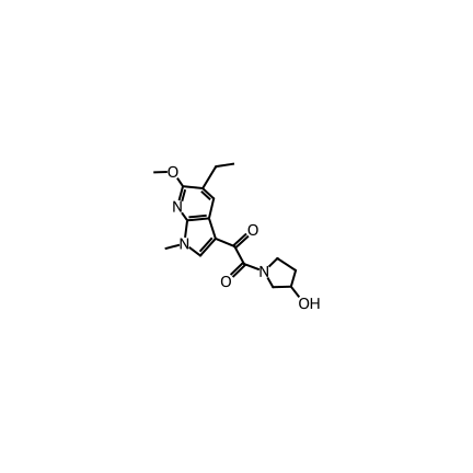 CCc1cc2c(C(=O)C(=O)N3CCC(O)C3)cn(C)c2nc1OC